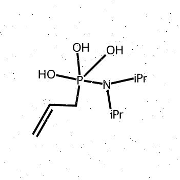 C=CCP(O)(O)(O)N(C(C)C)C(C)C